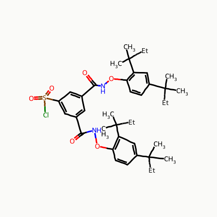 CCC(C)(C)c1ccc(ONC(=O)c2cc(C(=O)NOc3ccc(C(C)(C)CC)cc3C(C)(C)CC)cc(S(=O)(=O)Cl)c2)c(C(C)(C)CC)c1